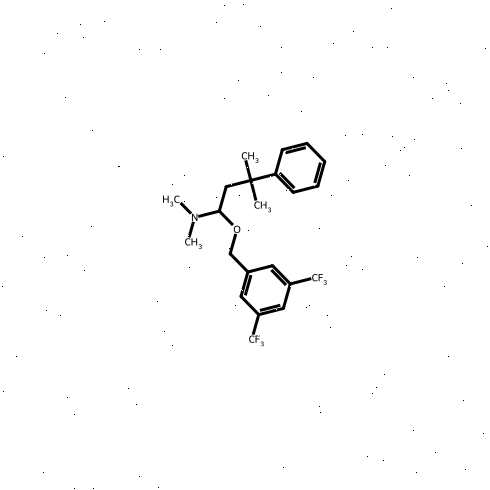 CN(C)C(CC(C)(C)c1ccccc1)OCc1cc(C(F)(F)F)cc(C(F)(F)F)c1